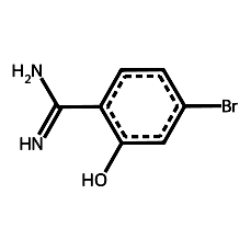 N=C(N)c1ccc(Br)cc1O